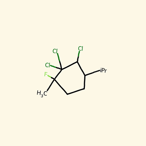 CC(C)C1CCC(C)(F)C(Cl)(Cl)C1Cl